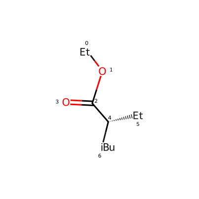 CCOC(=O)[C@H](CC)C(C)CC